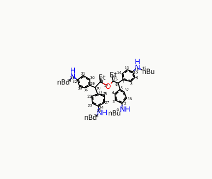 CCCCNc1ccc(C(c2ccc(NCCCC)cc2)C(CC)OC(CC)C(c2ccc(NCCCC)cc2)c2ccc(NCCCC)cc2)cc1